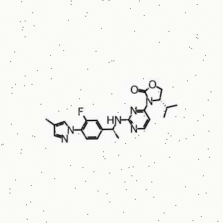 Cc1cnn(-c2ccc([C@H](C)Nc3nccc(N4C(=O)OC[C@@H]4C(C)C)n3)cc2F)c1